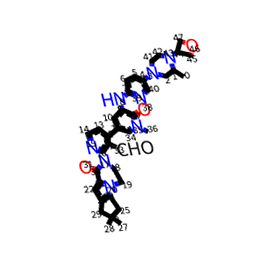 CC1CN(c2ccc(Nc3cc(-c4ccnc(N5CCn6c(cc7c6CC(C)(C)C7)C5=O)c4C=O)cn(C)c3=O)nc2)CCN1C1COC1